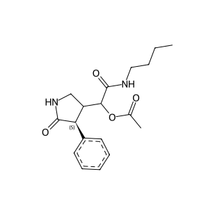 CCCCNC(=O)C(OC(C)=O)C1CNC(=O)[C@@H]1c1ccccc1